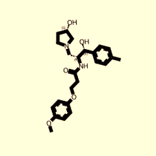 COc1ccc(OCCC(=O)N[C@H](CN2CC[C@H](O)C2)[C@H](O)c2ccc(C)cc2)cc1